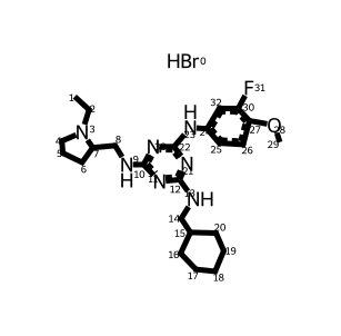 Br.CCN1CCCC1CNc1nc(NCC2CCCCC2)nc(Nc2ccc(OC)c(F)c2)n1